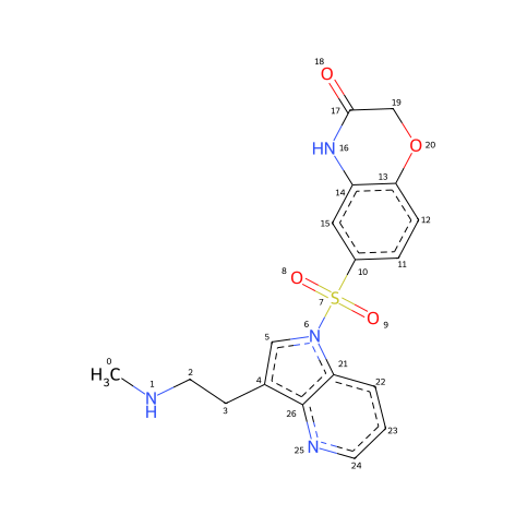 CNCCc1cn(S(=O)(=O)c2ccc3c(c2)NC(=O)CO3)c2cccnc12